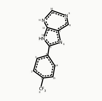 FC(F)(F)c1ccc(-c2nc3cncnc3[nH]2)cc1